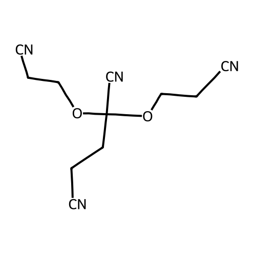 N#CCCOC(C#N)(CCC#N)OCCC#N